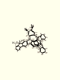 CC1(C)c2ccccc2-c2cc3c4cc5c(cc4n(-c4cc(C#N)c(C#N)cc4-n4c6ccccc6c6ccccc64)c3cc21)sc1ccccc15